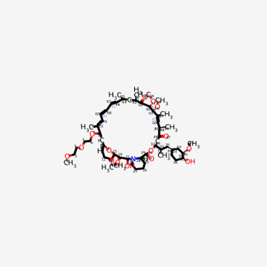 COCCOCCOC1C[C@@H]2CC[C@@H](C)[C@@](OC)(O2)C(=O)C(O)N2CCCC[C@H]2C(=O)O[C@H]([C@H](C)C[C@@H]2CC[C@@H](O)[C@H](OC)C2)CC(=O)[C@H](C)/C=C(\C)[C@@H](OC)[C@@H](OC)C(=O)[C@H](C)C[C@H](C)/C=C/C=C/C=C/1C